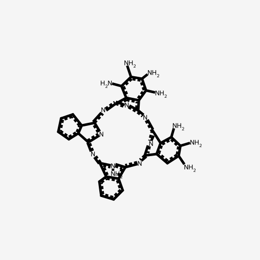 Nc1cc2c(c(N)c1N)-c1nc-2nc2c3ccccc3c(nc3nc(nc4[nH]c(n1)c1c(N)c(N)c(N)c(N)c41)-c1ccccc1-3)n2N